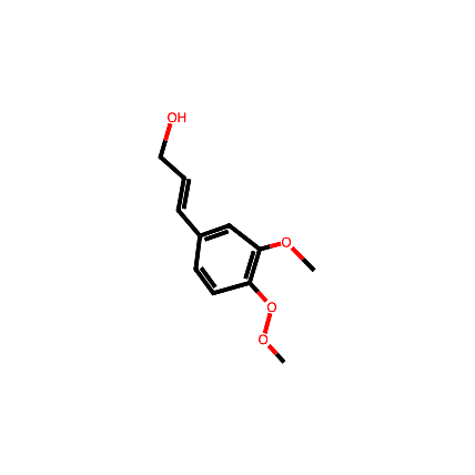 COOc1ccc(C=CCO)cc1OC